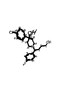 OCCCC(c1ccc(F)cc1)N1CCC(O)(c2ccc(Cl)cc2)CC1